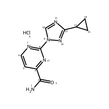 Cl.NC(=O)c1ccnc(-n2cnc(C3CC3)n2)n1